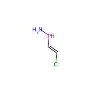 NPC=CCl